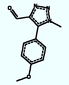 COc1ccc(-c2c(C=O)nnn2C)cc1